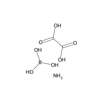 N.O=C(O)C(=O)O.OB(O)O